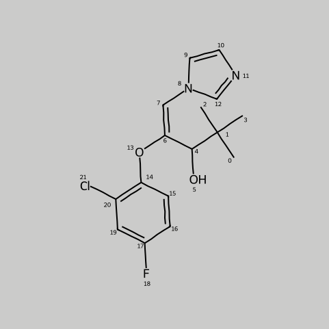 CC(C)(C)C(O)C(=Cn1ccnc1)Oc1ccc(F)cc1Cl